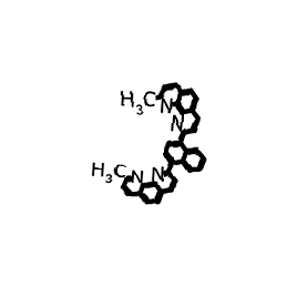 Cc1ccc2ccc3ccc(-c4ccc(-c5ccc6ccc7ccc(C)nc7c6n5)c5ccccc45)nc3c2n1